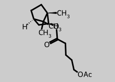 CC(=O)OCCCCC(=O)O[C@H]1C[C@H]2CC[C@@]1(C)C2(C)C